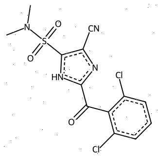 CN(C)S(=O)(=O)c1[nH]c(C(=O)c2c(Cl)cccc2Cl)nc1C#N